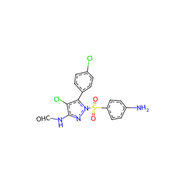 Nc1ccc(S(=O)(=O)n2nc(NC=O)c(Cl)c2-c2ccc(Cl)cc2)cc1